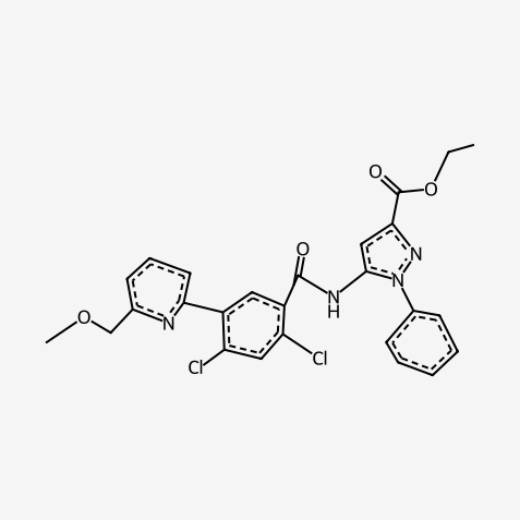 CCOC(=O)c1cc(NC(=O)c2cc(-c3cccc(COC)n3)c(Cl)cc2Cl)n(-c2ccccc2)n1